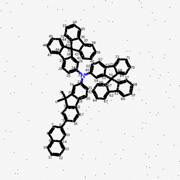 CC1(C)c2cc(-c3ccc4ccccc4c3)ccc2-c2ccc(N(c3ccc4c(c3)C3(c5ccccc5-c5ccccc53)c3ccccc3-4)c3ccc4c(c3)C3(c5ccccc5-c5ccccc53)c3ccccc3-4)cc21